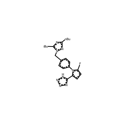 CCCCc1nc(C(C)CC)n(Cc2ccc(-n3c(F)ccc3-c3nnn[nH]3)cc2)n1